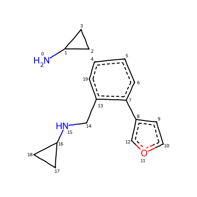 NC1CC1.c1ccc(-c2ccoc2)c(CNC2CC2)c1